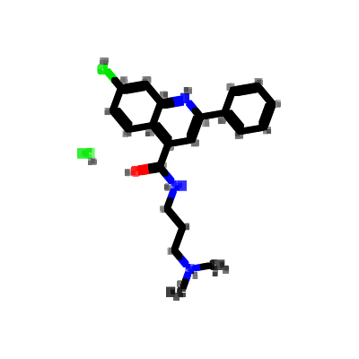 CN(C)CCCNC(=O)c1cc(-c2ccccc2)nc2cc(Cl)ccc12.Cl